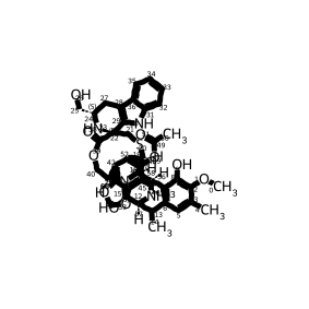 COc1c(C)cc2c(c1O)[C@H]1N[C@@H](C2C)[C@H](O)N2[C@H]1[C@@H]1SC[C@]3(N[C@H](CO)Cc4c3[nH]c3ccccc43)C(=O)OC[C@H]2c2c3c(c(C)c(OC(C)=O)c21)OCO3